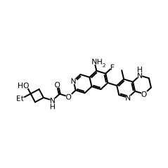 CCC1(O)CC(NC(=O)Oc2cc3cc(-c4cnc5c(c4C)NCCO5)c(F)c(N)c3cn2)C1